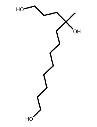 CC(O)(CCCO)CCCCCCCCO